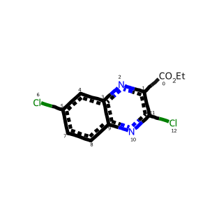 CCOC(=O)c1nc2cc(Cl)ccc2nc1Cl